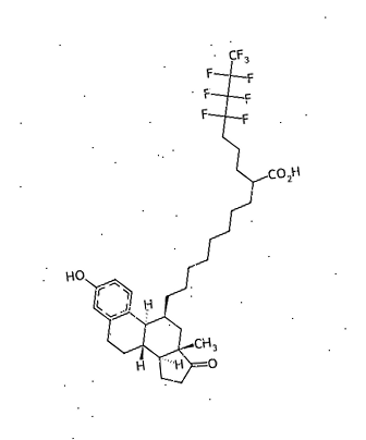 C[C@]12C[C@H](CCCCCCCCC(CCCC(F)(F)C(F)(F)C(F)(F)C(F)(F)F)C(=O)O)[C@@H]3c4ccc(O)cc4CC[C@H]3[C@@H]1CCC2=O